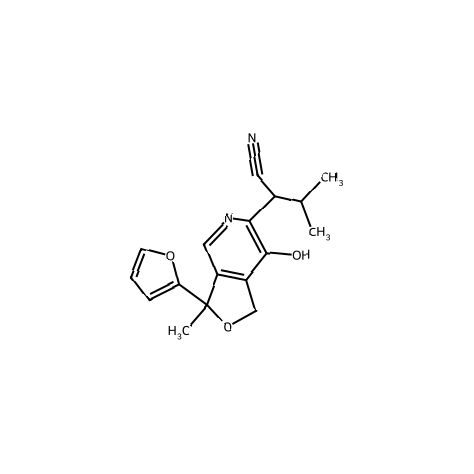 CC(C)C(C#N)c1ncc2c(c1O)COC2(C)c1ccco1